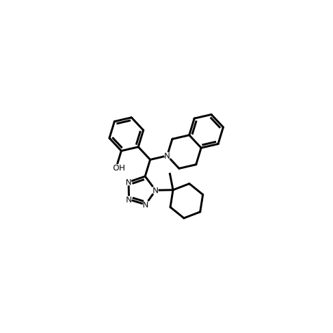 CC1(n2nnnc2C(c2ccccc2O)N2CCc3ccccc3C2)CCCCC1